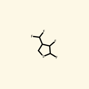 FC(F)C1CSC(F)C1F